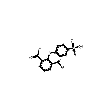 O=C(O)c1cccc(C(=O)O)c1Oc1ccc(S(=O)(=O)O)cc1